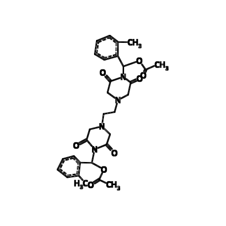 CC(=O)OC(c1ccccc1C)N1C(=O)CN(CCN2CC(=O)N(C(OC(C)=O)c3ccccc3C)C(=O)C2)CC1=O